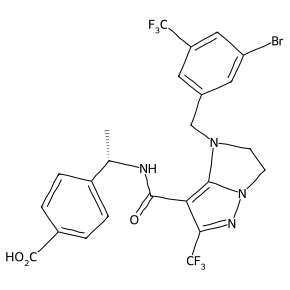 C[C@H](NC(=O)c1c(C(F)(F)F)nn2c1N(Cc1cc(Br)cc(C(F)(F)F)c1)CC2)c1ccc(C(=O)O)cc1